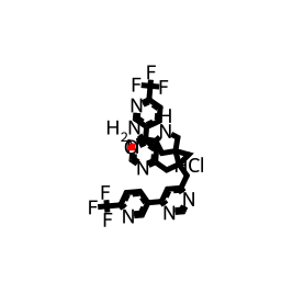 Cl.NC(=O)C1CC2(CN1)CC2(Cc1cc(-c2ccc(C(F)(F)F)nc2)ncn1)Cc1cc(-c2ccc(C(F)(F)F)nc2)ncn1